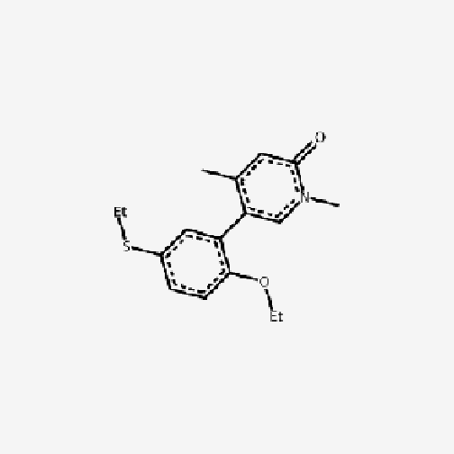 CCOc1ccc(SCC)cc1-c1cn(C)c(=O)cc1C